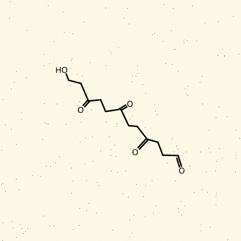 O=CCCC(=O)CCC(=O)CCC(=O)CCO